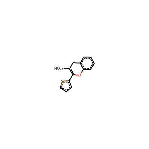 O=S(=O)(O)C1=C(c2cccs2)Oc2ccccc2C1